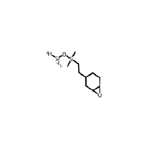 [2H][SiH2]O[Si](C)(C)CCC1CCC2OC2C1